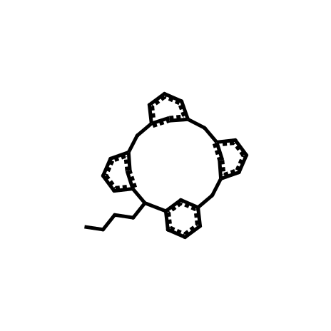 CCCCC1c2cccc(c2)Cc2cccc(c2)Cc2cccc(c2)Cc2cccc1c2